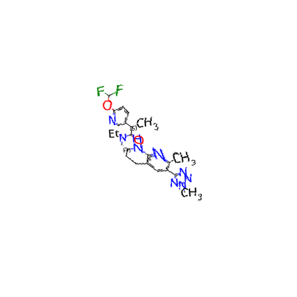 CCN(C[C@H]1CCc2cc(-c3nnn(C)n3)c(C)nc2N1)C(=O)[C@@H](C)c1ccc(OC(F)F)nc1